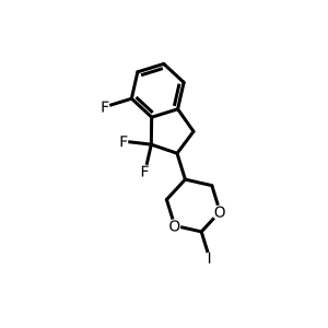 Fc1cccc2c1C(F)(F)C(C1COC(I)OC1)C2